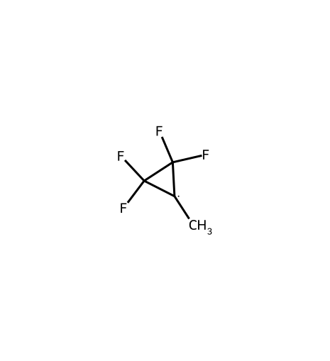 C[C]1C(F)(F)C1(F)F